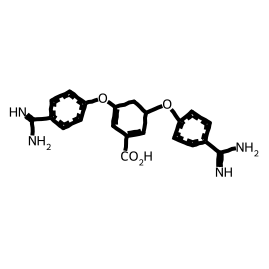 N=C(N)c1ccc(OC2=CC(C(=O)O)=CC(Oc3ccc(C(=N)N)cc3)C2)cc1